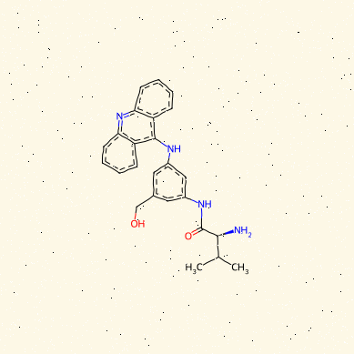 CC(C)[C@H](N)C(=O)Nc1cc(CO)cc(Nc2c3ccccc3nc3ccccc23)c1